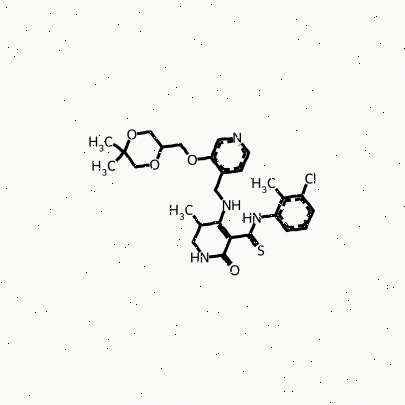 Cc1c(Cl)cccc1NC(=S)C1=C(NCc2ccncc2OCC2COC(C)(C)CO2)C(C)CNC1=O